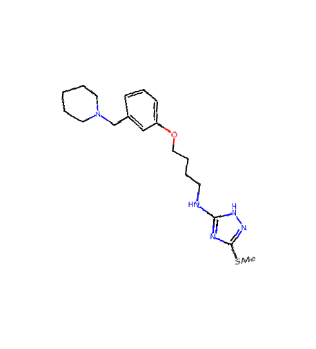 CSc1n[nH]c(NCCCCOc2cccc(CN3CCCCC3)c2)n1